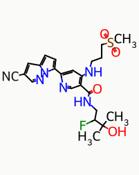 CC(C)(O)C(F)CNC(=O)c1cnc(-c2ccc3cc(C#N)cnn23)cc1NCCCS(C)(=O)=O